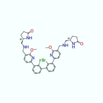 COc1nc(-c2cccc(-c3cccc(-c4ccc(CNC[C@H]5CCC(=O)N5)c(OC)n4)c3Br)c2F)ccc1CNC[C@H]1CCC(=O)N1